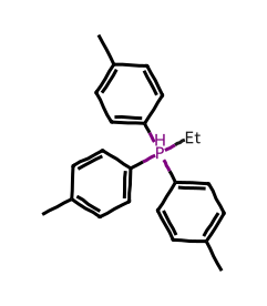 CC[PH](c1ccc(C)cc1)(c1ccc(C)cc1)c1ccc(C)cc1